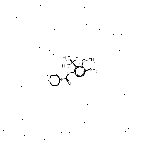 COc1c(N)ccc(OC(=O)N2CCNCC2)c1C(C)(C)C